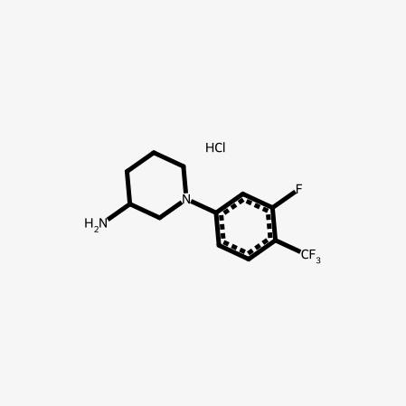 Cl.NC1CCCN(c2ccc(C(F)(F)F)c(F)c2)C1